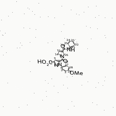 COc1ccc(-n2nc(C(=O)O)cc2C(=O)N2CCC(C(=O)Nc3ccccc3)C2)cc1